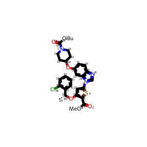 COC(=O)c1sc(-n2cnc3ccc(OC4CCN(C(=O)OCC(C)C)CC4)cc32)cc1O[C@H](C)c1ccccc1Cl